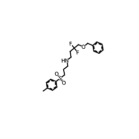 Cc1ccc(S(=O)(=O)CCCNCCC(F)(F)COCc2ccccc2)cc1